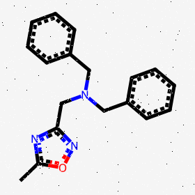 Cc1nc(CN(Cc2ccccc2)Cc2ccccc2)no1